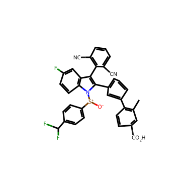 Cc1cc(C(=O)O)ccc1-c1cccc(-c2c(-c3c(C#N)cccc3C#N)c3cc(F)ccc3n2[S+]([O-])c2ccc(C(F)F)cc2)c1